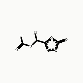 CCC(OC(=O)Cl)c1noc(=O)o1